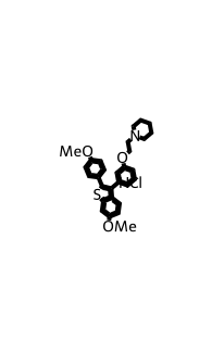 COc1ccc(-c2sc3cc(OC)ccc3c2-c2cccc(OCCN3CCCCC3)c2)cc1.Cl